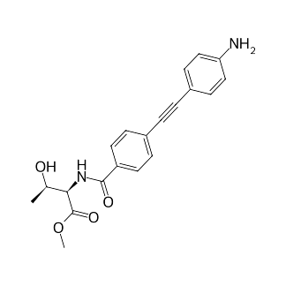 COC(=O)[C@H](NC(=O)c1ccc(C#Cc2ccc(N)cc2)cc1)[C@@H](C)O